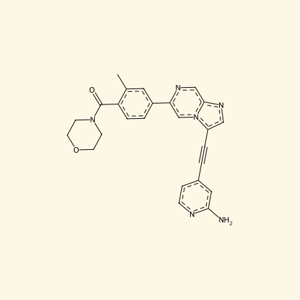 Cc1cc(-c2cn3c(C#Cc4ccnc(N)c4)cnc3cn2)ccc1C(=O)N1CCOCC1